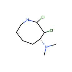 CN(C)[C@@H]1CCCC[N]C(Cl)C1Cl